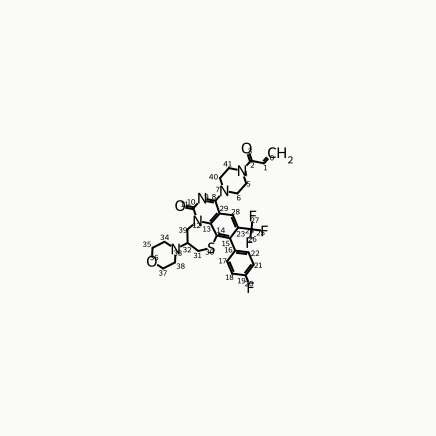 C=CC(=O)N1CCN(c2nc(=O)n3c4c(c(-c5ccc(F)cc5)c(C(F)(F)F)cc24)SCC(N2CCOCC2)C3)CC1